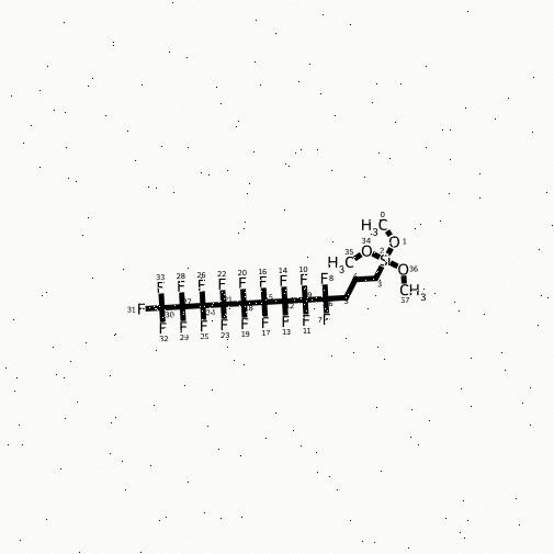 CO[Si](CCCC(F)(F)C(F)(F)C(F)(F)C(F)(F)C(F)(F)C(F)(F)C(F)(F)C(F)(F)C(F)(F)F)(OC)OC